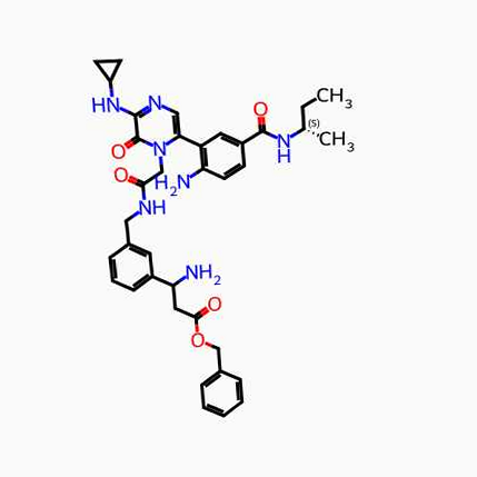 CC[C@H](C)NC(=O)c1ccc(N)c(-c2cnc(NC3CC3)c(=O)n2CC(=O)NCc2cccc(C(N)CC(=O)OCc3ccccc3)c2)c1